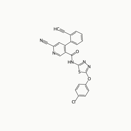 C#Cc1ccccc1-c1cc(C#N)ncc1C(=O)Nc1nnc(Oc2ccc(Cl)cc2)s1